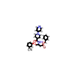 N#Cc1cccc(OCC(CC(=O)OCc2ccccc2)NC(=O)C2CCN(c3ccncc3)CC2)c1